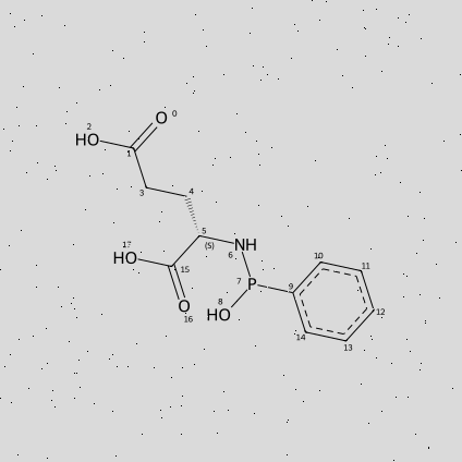 O=C(O)CC[C@H](NP(O)c1ccccc1)C(=O)O